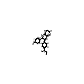 CCC(C)c1ccc(-c2nc3nccnc3nc2-c2ccc(C)cc2)cc1